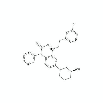 NC(=O)C(c1cccnc1)c1ccc(N2CCC[C@H](O)C2)nc1NCCc1cccc(F)c1